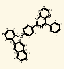 c1ccc(-c2nc(-c3ccc(-n4c5ccccc5c5cc6ccccc6cc54)cc3)nc3nccnc23)cc1